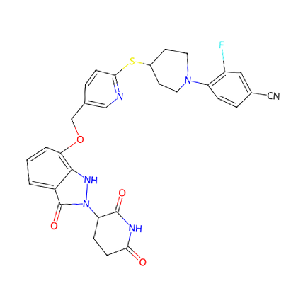 N#Cc1ccc(N2CCC(Sc3ccc(COc4cccc5c(=O)n(C6CCC(=O)NC6=O)[nH]c45)cn3)CC2)c(F)c1